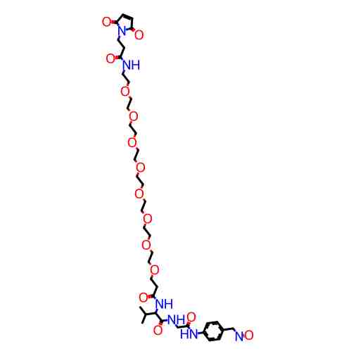 CC(C)C(NC(=O)CCOCCOCCOCCOCCOCCOCCOCCOCCNC(=O)CCN1C(=O)C=CC1=O)C(=O)NCC(=O)Nc1ccc(CN=O)cc1